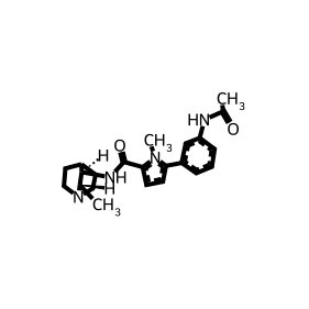 CC(=O)Nc1cccc(-c2ccc(C(=O)N[C@@H]3C4CCN(CC4)[C@H]3C)n2C)c1